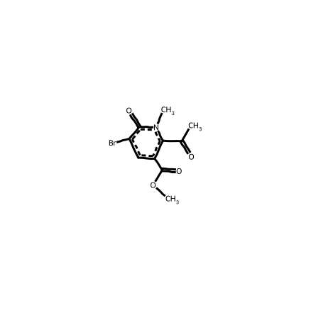 COC(=O)c1cc(Br)c(=O)n(C)c1C(C)=O